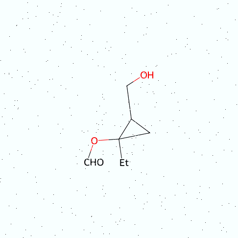 CCC1(OC=O)CC1CO